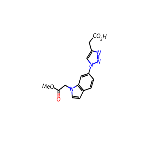 COC(=O)Cn1ccc2ccc(-n3cc(CC(=O)O)nn3)cc21